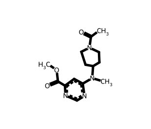 COC(=O)c1cc(N(C)C2CCN(C(C)=O)CC2)ncn1